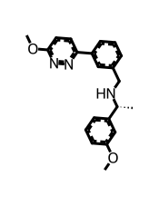 COc1cccc([C@@H](C)NCc2cccc(-c3ccc(OC)nn3)c2)c1